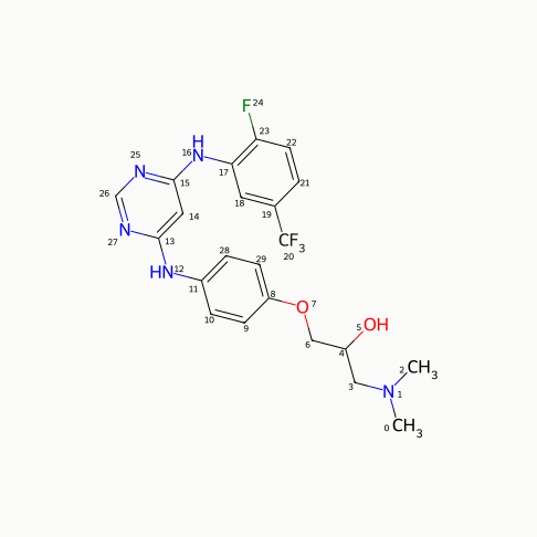 CN(C)CC(O)COc1ccc(Nc2cc(Nc3cc(C(F)(F)F)ccc3F)ncn2)cc1